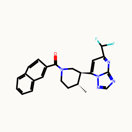 C[C@@H]1CCN(C(=O)c2ccc3ccccc3c2)C[C@H]1c1cc(C(F)F)nc2ncnn12